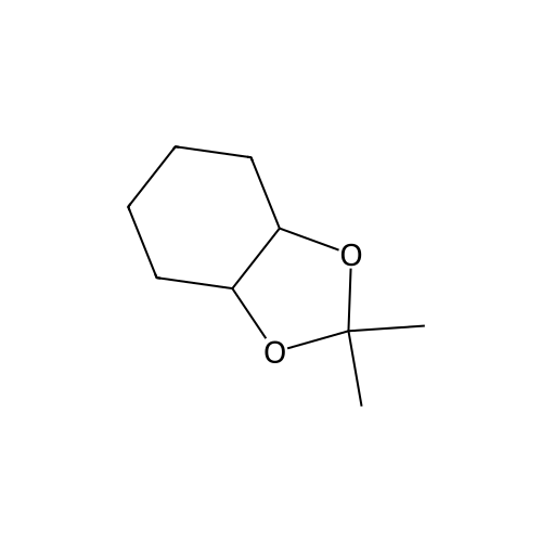 CC1(C)OC2CCCCC2O1